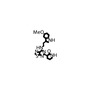 COc1ccc2[nH]cc(CCNc3nc(-c4ccc[nH]c4=O)nc4scnc34)c2c1